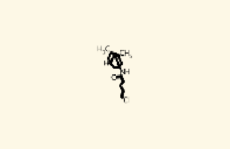 C[C@]12C[C@H]3CC(NC(=O)CCCCCl)(C1)C[C@@](C)(C3)C2